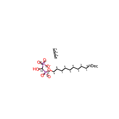 CCCCCCCCCCCCCCCCCCCOP(=O)([O-])C(O)P(=O)([O-])[O-].[K+].[K+].[K+]